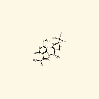 CCc1nc2c(c(C(F)P)nn2C(C)c2ccc(C(F)(F)F)cc2)c(=O)[nH]1